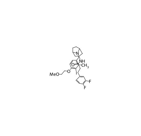 COCCOc1ccc(CN2C3CCC2CC(NC(=O)CCc2ccc(F)c(F)c2)C3)c(C)c1I